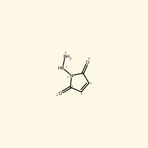 BBN1C(=O)C=CC1=O